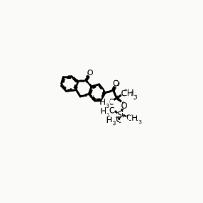 CC(C)(O[Si](C)(C)C)C(=O)c1ccc2c(c1)C(=O)c1ccccc1C2